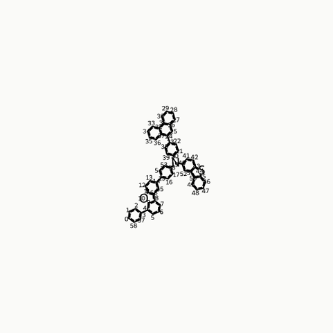 c1ccc(-c2cccc3c2oc2ccc(-c4ccc(N(c5ccc(-c6cc7ccccc7c7ccccc67)cc5)c5ccc6sc7ccccc7c6c5)cc4)cc23)cc1